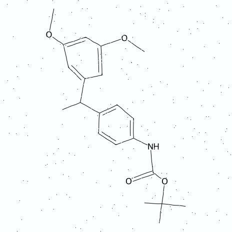 COc1cc(OC)cc(C(C)c2ccc(NC(=O)OC(C)(C)C)cc2)c1